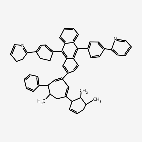 CC1CC(C2C=CCC(C)C2C)=CC(c2ccc3c(-c4ccc(-c5ccccn5)cc4)c4ccccc4c(C4=CC=C(C5=NC=CCC5)CC4)c3c2)=CC1c1ccccc1